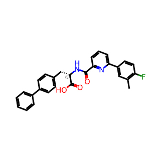 Cc1cc(-c2cccc(C(=O)N[C@@H](Cc3ccc(-c4ccccc4)cc3)C(=O)O)n2)ccc1F